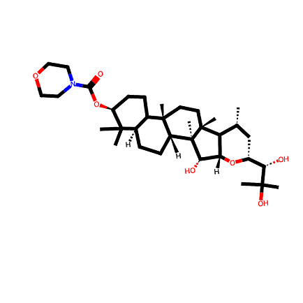 C[C@@H]1C[C@H]([C@H](O)C(C)(C)O)O[C@H]2C1[C@@]1(C)CC[C@@]3(C)C4CC[C@H](OC(=O)N5CCOCC5)C(C)(C)[C@@H]4CC[C@H]3[C@]1(C)[C@H]2O